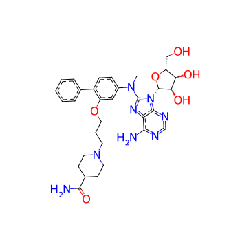 CN(c1ccc(-c2ccccc2)c(OCCCN2CCC(C(N)=O)CC2)c1)c1nc2c(N)ncnc2n1[C@@H]1O[C@H](CO)[C@@H](O)[C@H]1O